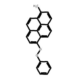 Cc1ccc2ccc3c(OOc4ccccc4)ccc4ccc1c2c43